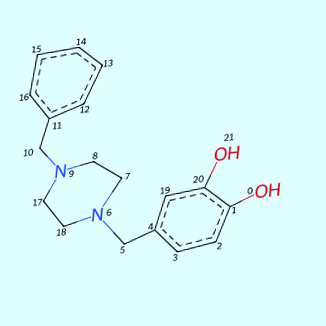 Oc1ccc(CN2CCN(Cc3ccccc3)CC2)cc1O